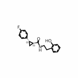 O=C(NCCc1ccccc1O)[C@H]1C[C@@H]1c1ccc(F)cc1